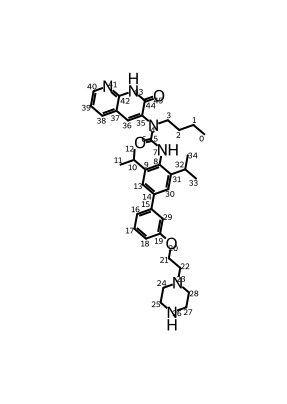 CCCCN(C(=O)Nc1c(C(C)C)cc(-c2cccc(OCCN3CCNCC3)c2)cc1C(C)C)c1cc2cccnc2[nH]c1=O